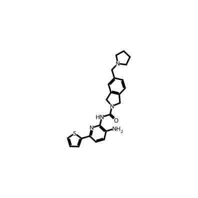 Nc1ccc(-c2cccs2)nc1NC(=O)N1Cc2ccc(CN3CCCC3)cc2C1